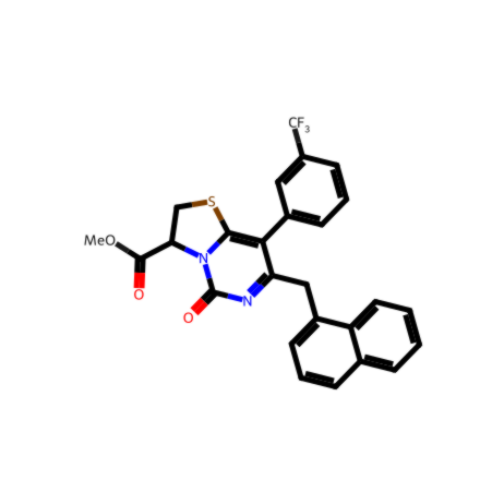 COC(=O)C1CSc2c(-c3cccc(C(F)(F)F)c3)c(Cc3cccc4ccccc34)nc(=O)n21